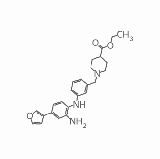 CCOC(=O)C1CCN(Cc2cccc(Nc3ccc(-c4ccoc4)cc3N)c2)CC1